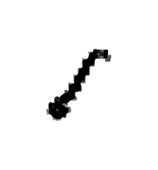 CCCCCC=CCCCCC#COC1CCCCO1